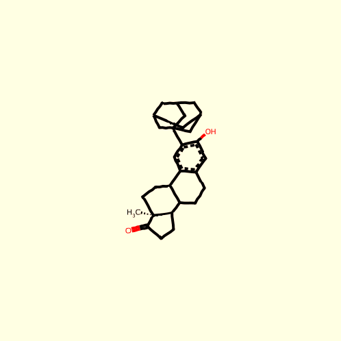 C[C@]12CCC3c4cc(C56CC7CC(CC(C7)C5)C6)c(O)cc4CCC3C1CCC2=O